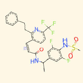 CC(NC(=O)/C=C\c1ccc(C(F)(F)F)nc1CCc1ccccc1)c1cc(F)c(NS(C)(=O)=O)c(F)c1